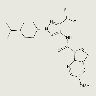 COc1cnc2c(C(=O)Nc3cn([C@H]4CC[C@H](C(C)I)CC4)nc3C(F)F)cnn2c1